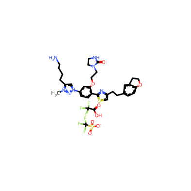 C[n+]1nn(-c2ccc(-c3nc(CCc4ccc5c(c4)CCO5)cs3)c(OCCN3CCNC3=O)c2)cc1CCCCN.O=C(O)C(F)(F)F.O=S(=O)([O-])C(F)(F)F